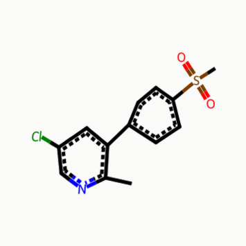 Cc1ncc(Cl)cc1-c1ccc(S(C)(=O)=O)cc1